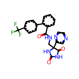 O=C1NC(=O)C(CNC(=O)c2ccccc2-c2ccc(C(F)(F)F)cc2)(c2cnccn2)N1